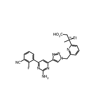 CC[C@@](C)(CC(=O)O)c1cccc(Cn2cc(-c3cc(-c4cccc(C#N)c4F)nc(N)n3)nn2)n1